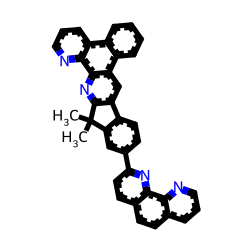 CC1(C)c2cc(-c3ccc4ccc5cccnc5c4n3)ccc2-c2cc3c4ccccc4c4cccnc4c3nc21